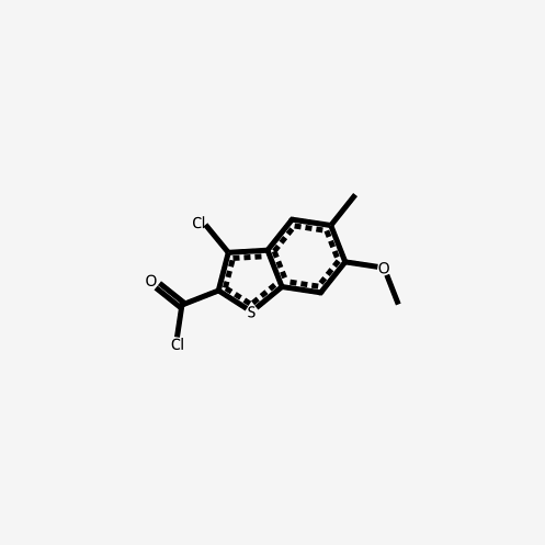 COc1cc2sc(C(=O)Cl)c(Cl)c2cc1C